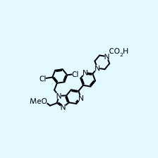 COCc1nc2cnc(-c3ccc(N4CCN(C(=O)O)CC4)nc3)cc2n1Cc1cc(Cl)ccc1Cl